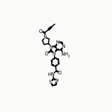 CC#CC(=O)N1CCC(n2c(=O)n(-c3ccc(C(=O)Nc4nccs4)cc3)c3c(N)ncnc32)C1